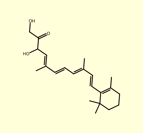 CC(C=CC1=C(C)CCCC1(C)C)=CC=CC(C)=CC(O)C(=O)CO